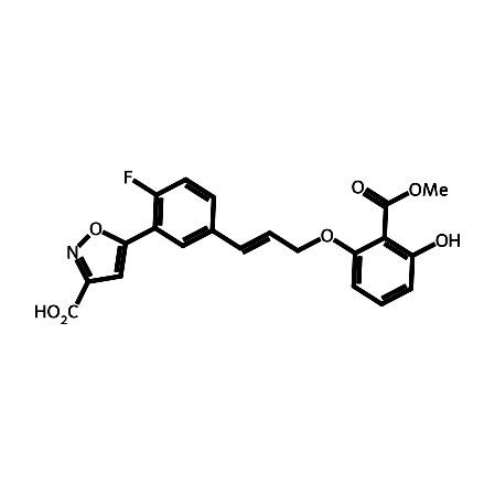 COC(=O)c1c(O)cccc1OCC=Cc1ccc(F)c(-c2cc(C(=O)O)no2)c1